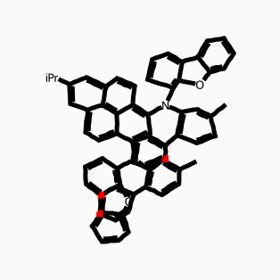 Cc1ccc(-c2ccccc2)c(N(c2cc(N(c3cc(C)ccc3-c3ccccc3)c3cccc4c3oc3ccccc34)c3ccc4cc(C(C)C)cc5ccc2c3c54)c2cccc3c2oc2ccccc23)c1